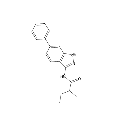 CCC(C)C(=O)Nc1n[nH]c2cc(-c3ccccc3)ccc12